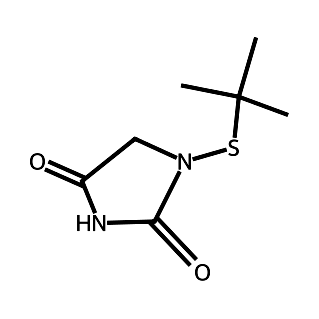 CC(C)(C)SN1CC(=O)NC1=O